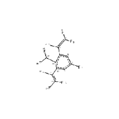 FC(F)=C(F)c1cc(F)cc(C(F)=C(F)F)c1C(F)F